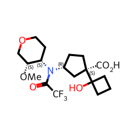 CO[C@@H]1COCC[C@@H]1N(C(=O)C(F)(F)F)[C@@H]1CC[C@@](C(=O)O)(C2(O)CCC2)C1